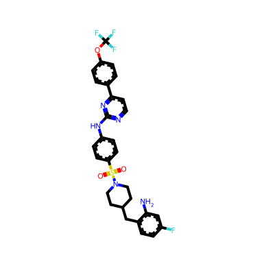 Nc1cc(F)ccc1CC1CCN(S(=O)(=O)c2ccc(Nc3nccc(-c4ccc(OC(F)(F)F)cc4)n3)cc2)CC1